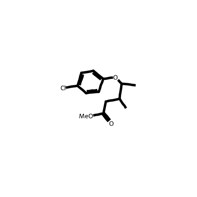 COC(=O)CC(C)C(C)Oc1ccc(Cl)cc1